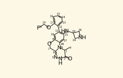 CC1C(=O)NN=C2COc3cc(-c4ccccc4OCF)c(NC4CNC4)cc3N21